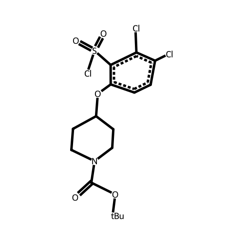 CC(C)(C)OC(=O)N1CCC(Oc2ccc(Cl)c(Cl)c2S(=O)(=O)Cl)CC1